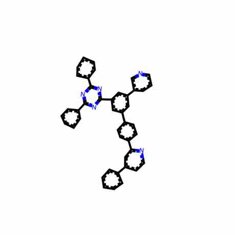 c1ccc(-c2ccnc(-c3ccc(-c4cc(-c5cccnc5)cc(-c5nc(-c6ccccc6)nc(-c6ccccc6)n5)c4)cc3)c2)cc1